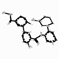 CC(C)NC(=O)c1ccc(F)c(-c2ccc(N)c(C(=O)Nc3cnccc3N3CCC[C@H](O)C3)n2)c1